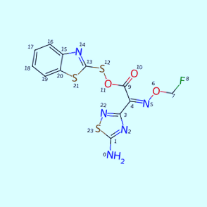 Nc1nc(/C(=N/OCF)C(=O)OSc2nc3ccccc3s2)ns1